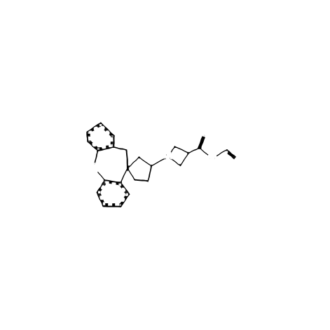 O=COC(=O)C1CN(C2CCC3(Cc4ccccc4Oc4ccccc43)C2)C1